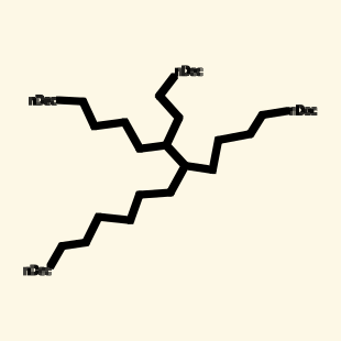 CCCCCCCCCCCCCCCC[C](CCCCCCCCCCCCCC)C(CCCCCCCCCCCC)CCCCCCCCCCCCCC